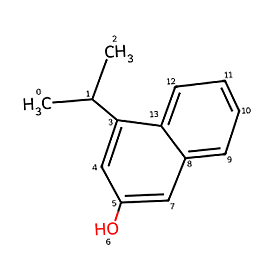 CC(C)c1cc(O)cc2ccccc12